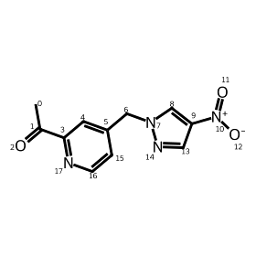 CC(=O)c1cc(Cn2cc([N+](=O)[O-])cn2)ccn1